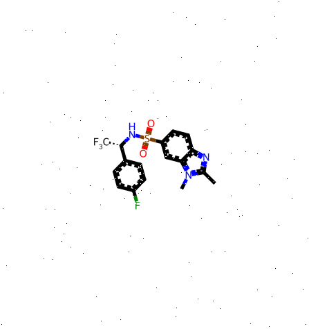 Cc1nc2ccc(S(=O)(=O)N[C@H](c3ccc(F)cc3)C(F)(F)F)cc2n1C